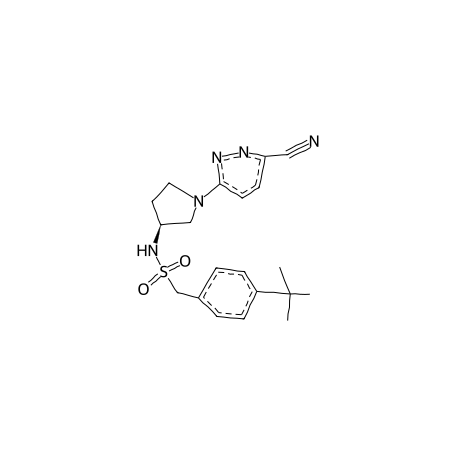 CC(C)(C)c1ccc(CS(=O)(=O)N[C@H]2CCN(c3ccc(C#N)nn3)C2)cc1